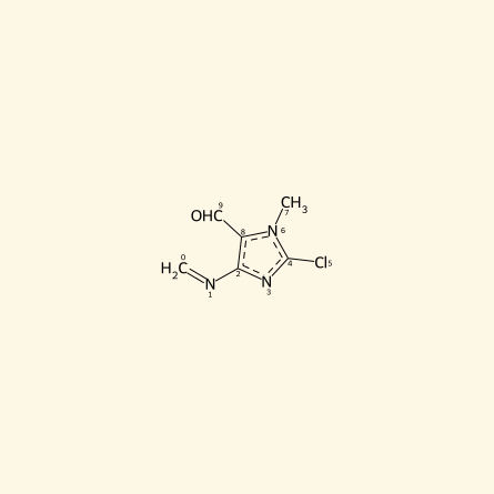 C=Nc1nc(Cl)n(C)c1C=O